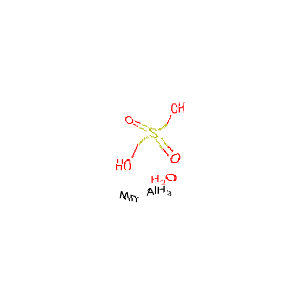 O.O=S(=O)(O)O.[AlH3].[Mn]